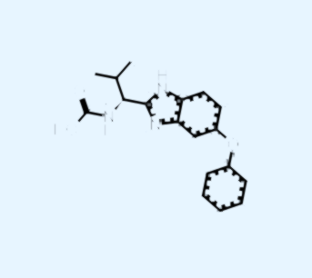 CC(C)[C@H](NC(=O)O)c1nc2cc(Oc3ccccc3)ccc2[nH]1